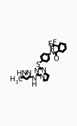 Cc1cc(Nc2nc(Sc3ccc(NC(=O)c4ccccc4C(F)(F)F)cc3)nc3cccn23)n[nH]1